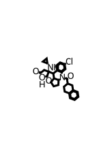 O=CCC(NC1CC1)(C(=O)O)C1c2ccc(Cl)cc2N(C(=O)C2CCc3ccccc3C2)C2CCCC21